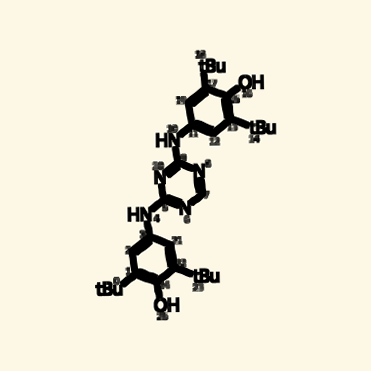 CC(C)(C)c1cc(Nc2ncnc(Nc3cc(C(C)(C)C)c(O)c(C(C)(C)C)c3)n2)cc(C(C)(C)C)c1O